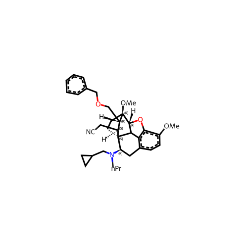 CCCN(CC1CC1)[C@@H]1Cc2ccc(OC)c3c2C2[C@@H](O3)[C@@]3(OC)CC[C@]21[C@@H](CC#N)[C@@H]3COCc1ccccc1